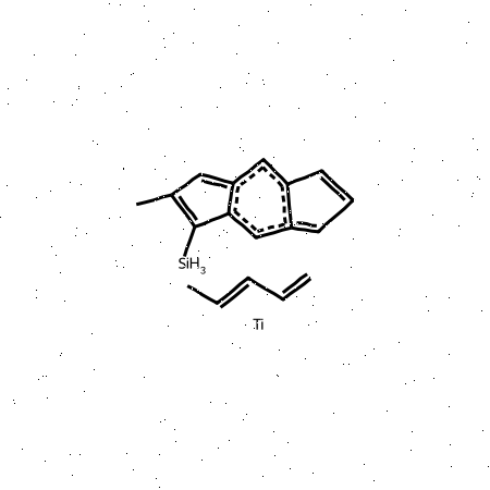 C=CC=CC.CC1=C([SiH3])c2cc3c(cc2=C1)C=CC=3.[Ti]